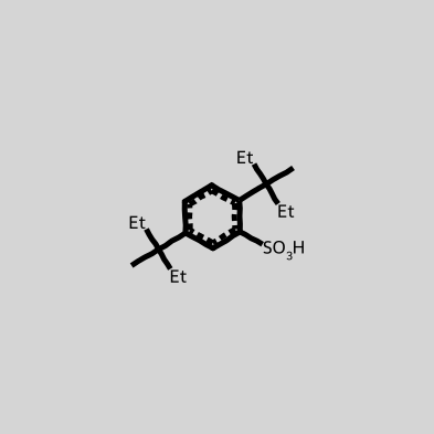 CCC(C)(CC)c1ccc(C(C)(CC)CC)c(S(=O)(=O)O)c1